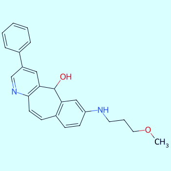 COCCCNc1ccc2c(c1)C(O)c1cc(-c3ccccc3)cnc1C=C2